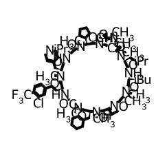 CC[C@H](C)[C@@H]1NC(=O)[C@H](CC(C)C)N(C)C(=O)C[C@@H](C(=O)N(C)C)N(C)C(=O)[C@H](C2CCCC2)N(C)C(=O)[C@H](C(C)C)NC(=O)[C@H](Cc2ccncc2)N(C)C(=O)[C@H](CCc2ccc(C(F)(F)F)c(Cl)c2)NC(=O)CN(C)C(=O)[C@H](CC2CCCCC2)N(C)C(=O)[C@@H]2CCN2C(=O)[C@H](C)N(C)C1=O